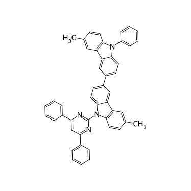 Cc1ccc2c(c1)c1cc(-c3ccc4c(c3)c3cc(C)ccc3n4-c3nc(-c4ccccc4)cc(-c4ccccc4)n3)ccc1n2-c1ccccc1